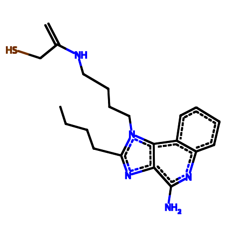 C=C(CS)NCCCCn1c(CCCC)nc2c(N)nc3ccccc3c21